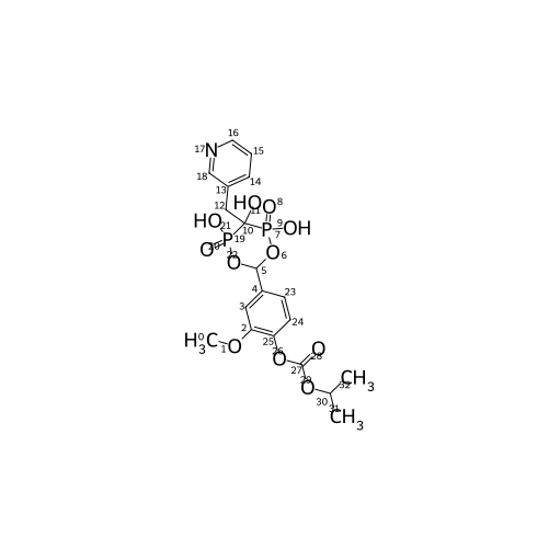 COc1cc(C2OP(=O)(O)C(O)(Cc3cccnc3)P(=O)(O)O2)ccc1OC(=O)OC(C)C